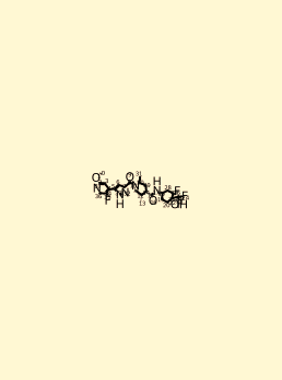 COc1cc(-c2cc(C(=O)N3C[C@@H](C)[C@@H](C(=O)NC4CCC(O)(C(F)(F)F)CC4)CC3C)n[nH]2)c(F)cn1